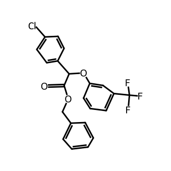 O=C(OCc1ccccc1)C(Oc1cccc(C(F)(F)F)c1)c1ccc(Cl)cc1